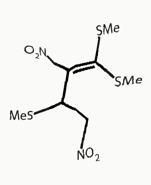 CSC(SC)=C(C(C[N+](=O)[O-])SC)[N+](=O)[O-]